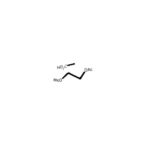 CC(=O)O.COCCOC(C)=O